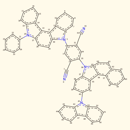 N#Cc1cc(-n2c3ccccc3c3c4c5ccccc5n(-c5ccccc5)c4ccc32)c(C#N)cc1-n1c2ccc(-n3c4ccccc4c4ccccc43)cc2c2c3ccccc3ccc21